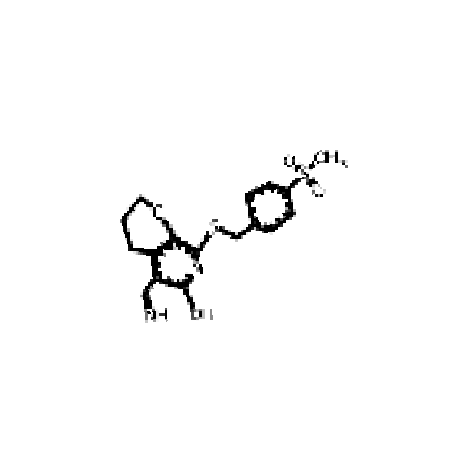 CS(=O)(=O)c1ccc(CSc2nc(O)c(C=N)c3c2CCCC3)cc1